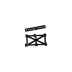 N12[Si]34N5[Si]16N3[Si]25N46.O=[Si]=O